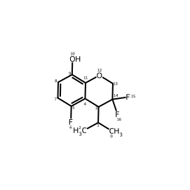 CC(C)C1c2c(F)ccc(O)c2OCC1(F)F